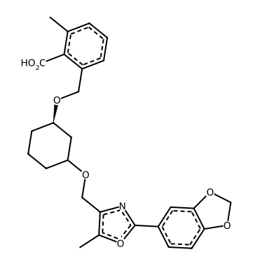 Cc1cccc(CO[C@@H]2CCCC(OCc3nc(-c4ccc5c(c4)OCO5)oc3C)C2)c1C(=O)O